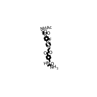 CC(=O)NC[C@H]1CN(c2ccc(N3CCN(CCC(=O)C(=O)c4ccc(CNC(C)C(N)=O)cc4)CC3)c(F)c2)C(=O)O1